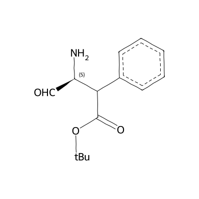 CC(C)(C)OC(=O)C(c1ccccc1)[C@H](N)C=O